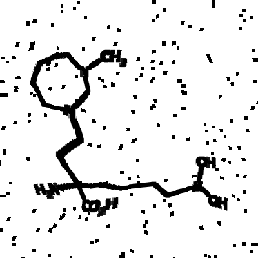 CN1CCCCN(CCC(N)(CCCCB(O)O)C(=O)O)C1